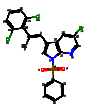 N#CC(=Cc1cn(S(=O)(=O)c2ccccc2)c2ncc(Br)cc12)c1c(Cl)cccc1Cl